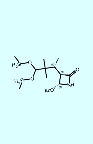 C[SiH2]OC(O[SiH2]C)C(C)(C)[C@H](C)[C@H]1C(=O)N[C@@H]1OC(C)=O